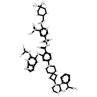 CC(C)c1ccccc1[C@H]1COCCN1C1CC2(CCN(c3ccc(C(=O)NS(=O)(=O)c4cnc(NCC5CCC(C)(C)CC5)c([N+](=O)[O-])c4)c(Oc4cc5cc[nH]c5nc4OC(F)F)c3)CC2)C1